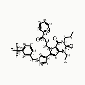 CCCn1c(=O)c2c(cc(-c3cnn(Cc4cccc(C(F)(F)F)c4)c3)n2COC(=O)c2ncccn2)n(CC)c1=O